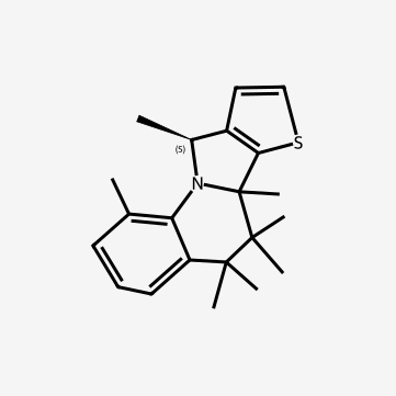 Cc1cccc2c1N1[C@@H](C)c3ccsc3C1(C)C(C)(C)C2(C)C